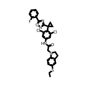 CCSc1ccc2c(c1)CCN2CC(=O)Nc1cc(Cl)c(C2(c3noc(-c4ccccc4F)n3)CC2)c(Cl)c1